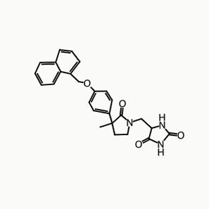 CC1(c2ccc(OCc3cccc4ccccc34)cc2)CCN(CC2NC(=O)NC2=O)C1=O